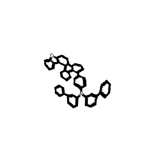 c1ccc(-c2cccc(N(c3ccc(-c4cccc5c6ccc7oc8ccccc8c7c6c6ccccc6c45)cc3)c3cccc(-c4ccccc4)c3)c2)cc1